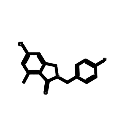 Cc1cc(Cl)cc2c1C(=O)N(Cc1ccc(F)cc1)C2